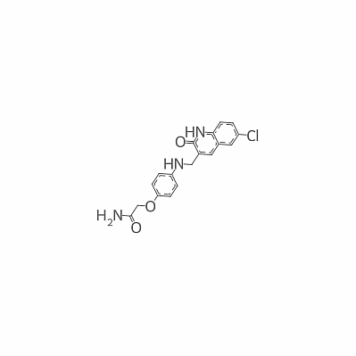 NC(=O)COc1ccc(NCc2cc3cc(Cl)ccc3[nH]c2=O)cc1